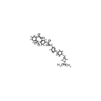 CN(C)C1CN(Cc2ccc(-c3ncc(CNC(=O)c4ccc5c(c4)NC(=O)c4ccccc4S5(=O)=O)s3)cc2)C1